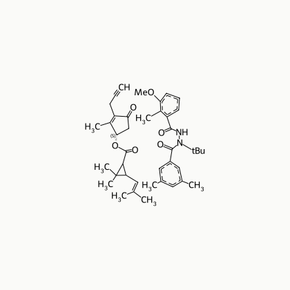 C#CCC1=C(C)[C@@H](OC(=O)C2C(C=C(C)C)C2(C)C)CC1=O.COc1cccc(C(=O)NN(C(=O)c2cc(C)cc(C)c2)C(C)(C)C)c1C